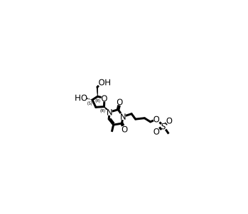 Cc1cn([C@H]2C[C@H](O)[C@@H](CO)O2)c(=O)n(CCCCOS(C)(=O)=O)c1=O